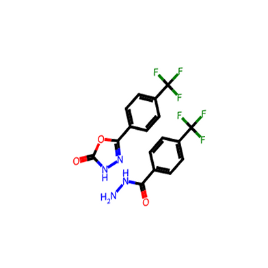 NNC(=O)c1ccc(C(F)(F)F)cc1.O=c1[nH]nc(-c2ccc(C(F)(F)F)cc2)o1